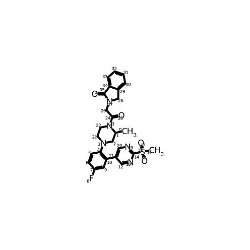 CC1CN(c2ccc(F)cc2-c2cnc(S(C)(=O)=O)nc2)CCN1C(=O)CN1Cc2ccccc2C1=O